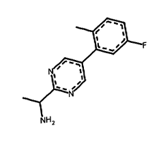 Cc1ccc(F)cc1-c1cnc(C(C)N)nc1